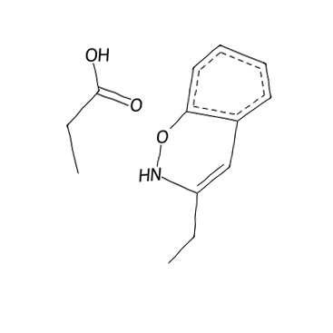 CCC(=O)O.CCC1=Cc2ccccc2ON1